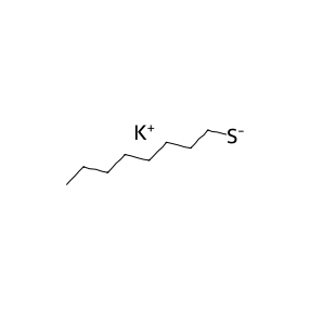 CCCCCCCC[S-].[K+]